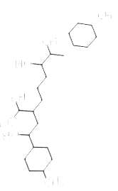 CC1CCC(C(O)CC(CCCC(O)C(C)C[C@H]2CC[C@@H](C)CC2)C(C)C)CC1